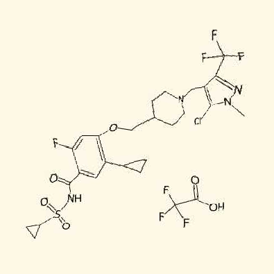 Cn1nc(C(F)(F)F)c(CN2CCC(COc3cc(F)c(C(=O)NS(=O)(=O)C4CC4)cc3C3CC3)CC2)c1Cl.O=C(O)C(F)(F)F